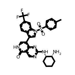 Cc1ccc(S(=O)(=O)n2cc(-c3c[nH]c(=O)c4cnc(N[C@H]5CCCC[C@H]5N)nc34)c3ccc(C(F)(F)F)cc32)cc1